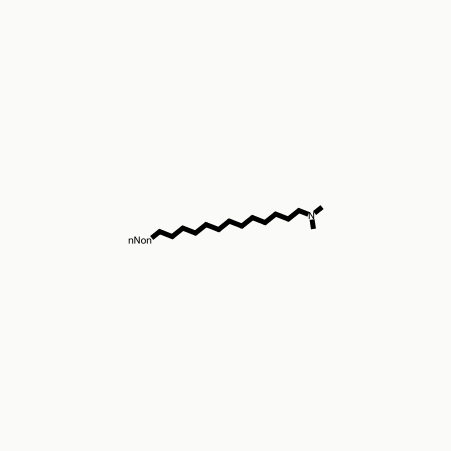 CCCCCCCCCCCCCCCCCCCCCCN(C)C